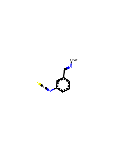 CON=Cc1cccc(N=C=S)c1